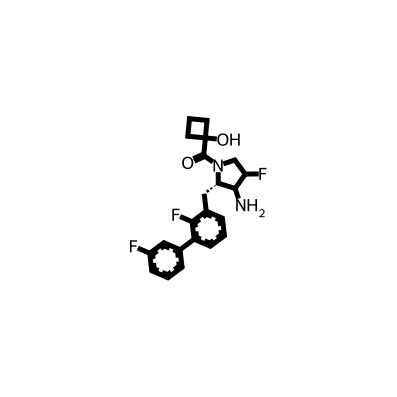 NC1C(F)CN(C(=O)C2(O)CCC2)[C@H]1Cc1cccc(-c2cccc(F)c2)c1F